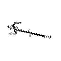 CCCCCCCCCCCCC(C)C(=O)NC(CCCCCCCCCCCC)C(=O)NCCOCCOCCC(=O)NCCCCCCCCCCCC(=O)O